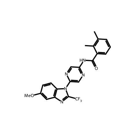 COc1ccc2c(c1)nc(C(F)(F)F)n2-c1cnc(NC(=O)c2cccc(C)c2C)cn1